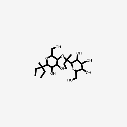 CCC(C)(CC)C1OC(CO)C(OC(C)(CC)C2OC(CO)C(O)C(O)C2O)C(O)C1O